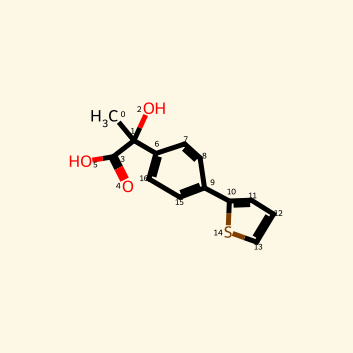 CC(O)(C(=O)O)c1ccc(-c2cccs2)cc1